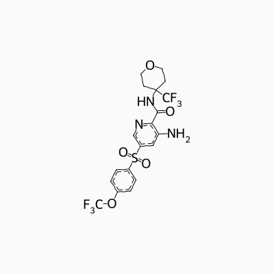 Nc1cc(S(=O)(=O)c2ccc(OC(F)(F)F)cc2)cnc1C(=O)NC1(C(F)(F)F)CCOCC1